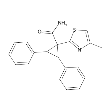 Cc1csc(C2(C(N)=O)C(c3ccccc3)C2c2ccccc2)n1